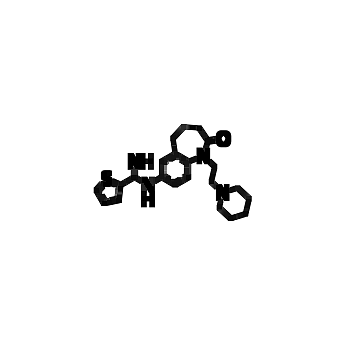 N=C(Nc1ccc2c(c1)CCCC(=O)N2CCN1CCCCC1)c1cccs1